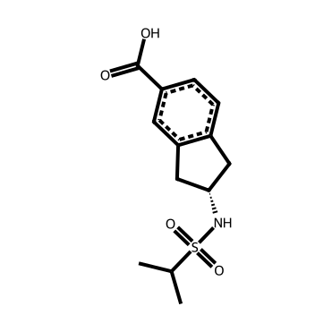 CC(C)S(=O)(=O)N[C@H]1Cc2ccc(C(=O)O)cc2C1